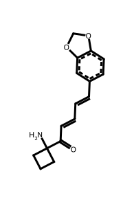 NC1(C(=O)C=CC=Cc2ccc3c(c2)OCO3)CCC1